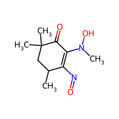 CC1CC(C)(C)C(=O)C(N(C)O)=C1N=O